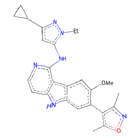 CCn1nc(C2CC2)cc1Nc1nccc2[nH]c3cc(-c4c(C)noc4C)c(OC)cc3c12